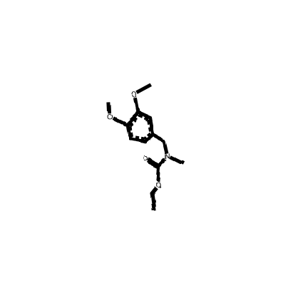 CCOC(=O)N(C)Cc1ccc(OC)c(OC)c1